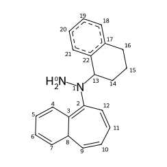 NN(C1=C2C=CC=CC2C=CC=C1)C1CCCc2ccccc21